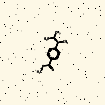 COC(=O)c1ccc(C(C)C(C)C)cc1